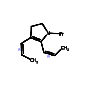 C/C=C\C1=C(/C=C\C)N(C(C)C)CC1